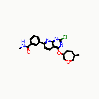 CNC(=O)c1cccc(-c2ccc3c(OC4CCC(C)COC4)nc(Cl)nc3n2)c1